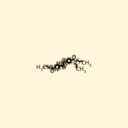 CCCCN(CCCC)C(=O)c1ccc(S(=O)(=O)NC(=O)c2ccc(C(=O)OCCC)nc2)cc1